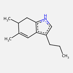 CCCc1c[nH]c2c1C=C(C)C(C)C2